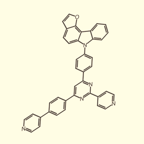 c1ccc2c(c1)c1c3occc3ccc1n2-c1ccc(-c2cc(-c3ccc(-c4ccncc4)cc3)nc(-c3ccncc3)n2)cc1